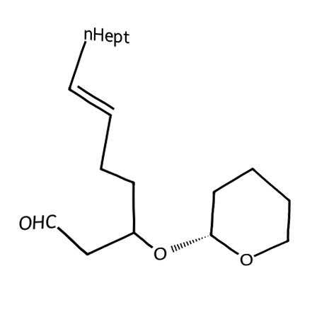 CCCCCCCC=CCCC(CC=O)O[C@@H]1CCCCO1